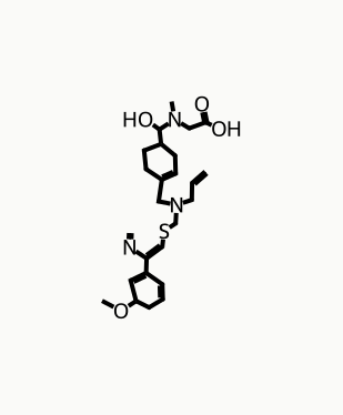 C=CCN(CS/C=C(\N=C)C1=CC(OC)CC=C1)CC1=CCC(C(O)N(C)CC(=O)O)CC1